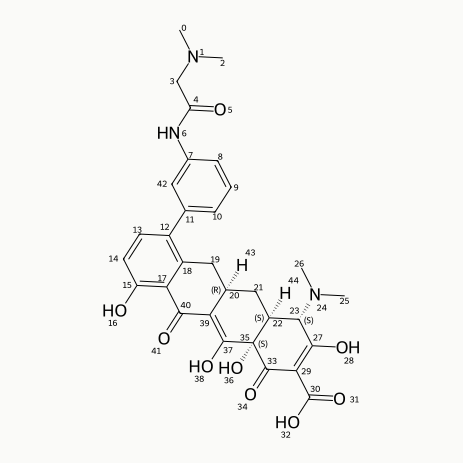 CN(C)CC(=O)Nc1cccc(-c2ccc(O)c3c2C[C@H]2C[C@H]4[C@H](N(C)C)C(O)=C(C(=O)O)C(=O)[C@@]4(O)C(O)=C2C3=O)c1